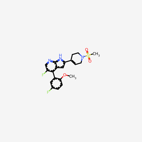 COc1ccc(F)cc1-c1c(F)cnc2[nH]c(C3=CCN(S(C)(=O)=O)CC3)cc12